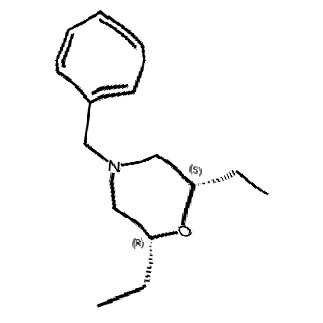 CC[C@@H]1CN(Cc2ccccc2)C[C@H](CC)O1